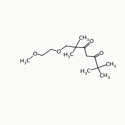 COCCOCC(C)(C)C(=O)CC(=O)C(C)(C)C